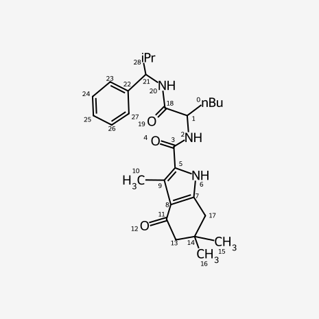 CCCCC(NC(=O)c1[nH]c2c(c1C)C(=O)CC(C)(C)C2)C(=O)NC(c1ccccc1)C(C)C